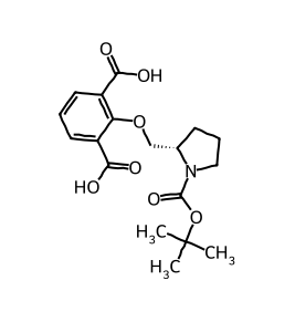 CC(C)(C)OC(=O)N1CCC[C@H]1COc1c(C(=O)O)cccc1C(=O)O